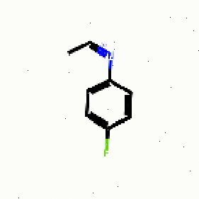 C/C=N\c1ccc(F)cc1